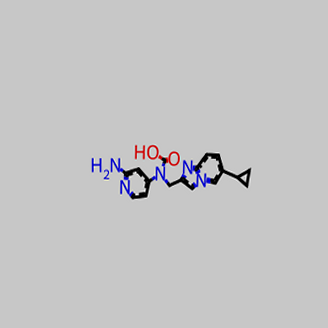 Nc1cc(N(Cc2cn3cc(C4CC4)ccc3n2)C(=O)O)ccn1